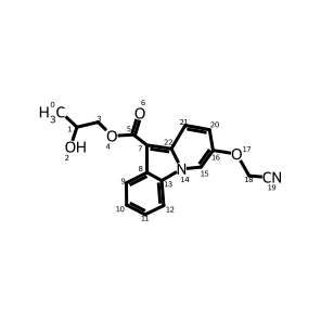 CC(O)COC(=O)c1c2ccccc2n2cc(OCC#N)ccc12